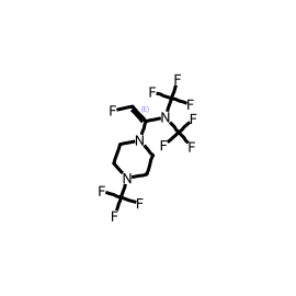 F/C=C(\N1CCN(C(F)(F)F)CC1)N(C(F)(F)F)C(F)(F)F